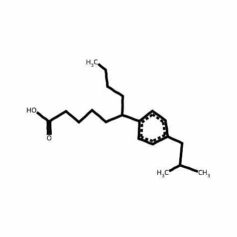 CCCCC(CCCCC(=O)O)c1ccc(CC(C)C)cc1